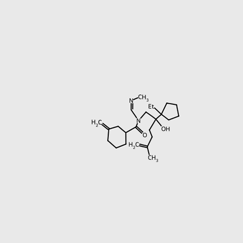 C=C(C)CCC(O)(CN(/C=N\C)C(=O)C1CCCC(=C)C1)C1(CC)CCCC1